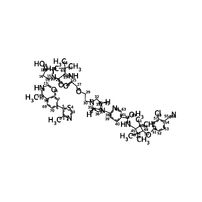 Cc1ncsc1-c1ccc([C@H](C)NC(=O)[C@@H]2C[C@@H](O)CN2C(=O)[C@@H](NC(=O)COCCN2C[C@H]3C[C@@H]2CN3c2ccc(C(=O)NC3C(C)(C)C(Oc4ccc(C#N)c(Cl)c4)C3(C)C)cn2)C(C)(C)C)cc1